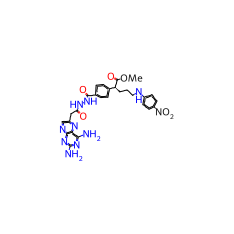 COC(=O)[C@@H](CCCNc1ccc([N+](=O)[O-])cc1)c1ccc(C(=O)NNC(=O)Cc2cnc3nc(N)nc(N)c3n2)cc1